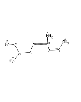 C/C=C\C(N)=C/CC(C)CC(C)C